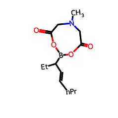 CCCC=CC(CC)B1OC(=O)CN(C)CC(=O)O1